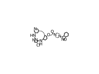 O=C(COc1ccc2cc1CCc1cncc(c1)Nc1ncc(Cl)c(n1)N2)N1CCN(c2noc3ccccc23)CC1